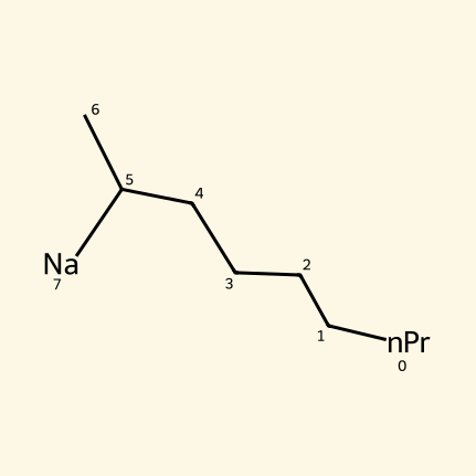 CCCCCCC[CH](C)[Na]